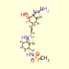 C=CS(=O)(=O)NCc1cccc(NCC#Cc2cc(O)c3nc(N)sc3c2)c1F